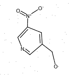 [O]Cc1cncc([N+](=O)[O-])c1